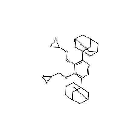 c1cc(C23CC4CC(CC(C4)C2)C3)c(OCC2CO2)c(OCC2CO2)c1C12CC3CC(CC(C3)C1)C2